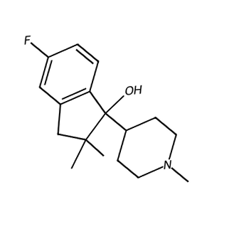 CN1CCC(C2(O)c3ccc(F)cc3CC2(C)C)CC1